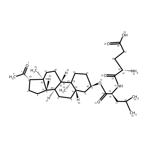 CC(=O)[C@H]1CC[C@H]2[C@@H]3CC[C@H]4C[C@H](OC(=O)[C@H](CC(C)C)NC(=O)[C@@H](N)CCC(=O)O)CC[C@]4(C)[C@H]3CC[C@]12C